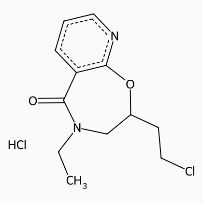 CCN1CC(CCCl)Oc2ncccc2C1=O.Cl